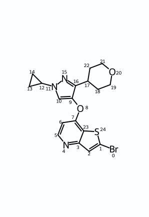 Brc1cc2nccc(Oc3cn(C4CC4)nc3C3CCOCC3)c2s1